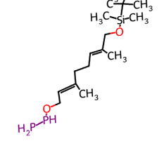 C/C(=C\COPP)CC/C=C(\C)CO[Si](C)(C)C(C)(C)C